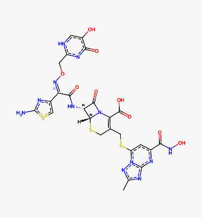 Cc1nc2nc(C(=O)NO)cc(SCC3=C(C(=O)O)N4C(=O)[C@@H](NC(=O)/C(=N\OCc5nc(=O)c(O)c[nH]5)c5csc(N)n5)[C@H]4SC3)n2n1